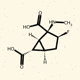 CN[C@]1(C(=O)O)[C@H]2[C@@H](C[C@@H]1F)[C@@H]2C(=O)O